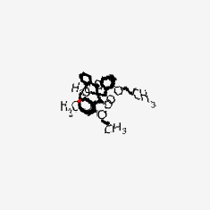 CCCOc1ccccc1C(=O)C(CC)(C(=O)c1ccccc1OCCC)C(=O)c1ccccc1OCCC